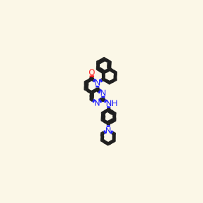 O=c1ccc2cnc(Nc3ccc(N4CCCCC4)cc3)nc2n1C1CCCc2ccccc21